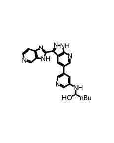 CCCCC(O)Nc1cncc(-c2cnc3[nH]nc(-c4nc5ccncc5[nH]4)c3c2)c1